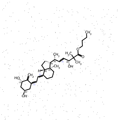 C=C1/C(=C\C=C2/CCC[C@]3(C)[C@@H]([C@H](C)/C=C/[C@@H](O)C(C)(C)C(=O)OCCCC)CC[C@@H]23)C[C@@H](O)C[C@@H]1O